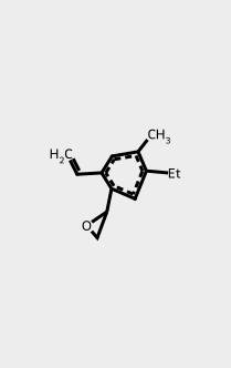 C=Cc1cc(C)c(CC)cc1C1CO1